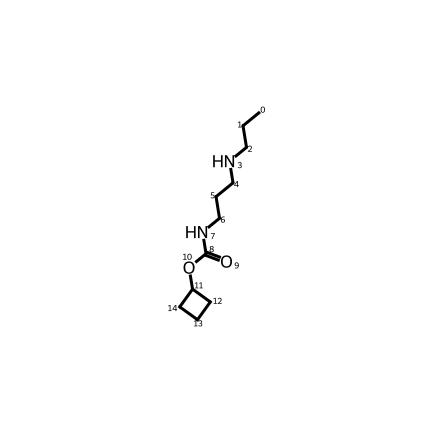 CCCNCCCNC(=O)OC1CCC1